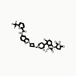 Cn1c(=O)n(C2CCC(=O)NC2=O)c2ccc(F)c(C3CCN(C[C@H]4C[C@H](n5cc6cc(NC(=O)c7cccc(C(F)(F)F)n7)ccc6n5)C4)CC3)c21